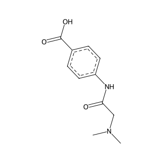 CN(C)CC(=O)Nc1ccc(C(=O)O)cc1